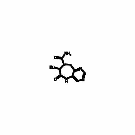 CCC(C)C1C(=O)Nc2cncnc2CN1C(N)=O